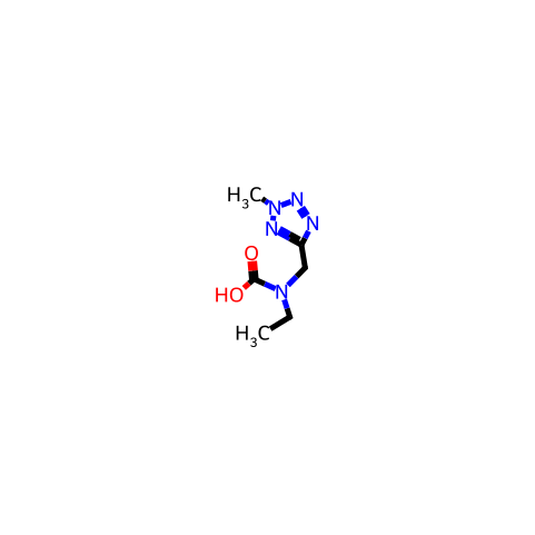 CCN(Cc1nnn(C)n1)C(=O)O